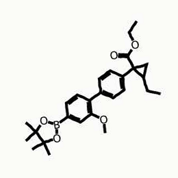 CCOC(=O)C1(c2ccc(-c3ccc(B4OC(C)(C)C(C)(C)O4)cc3OC)cc2)CC1CC